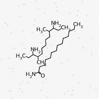 CCC(N)C(C)CCCCCC(C)C(N)CC.CCCCCCCCCCCCCC(N)=O